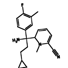 Cc1cc(C(N)(CCC2CC2)C2C=CC=C(C#N)N2C)ccc1F